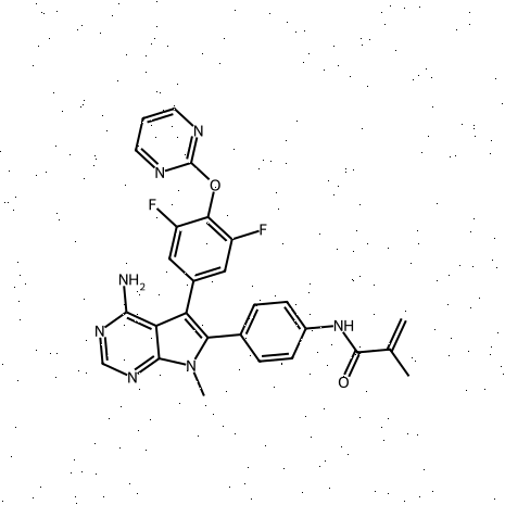 C=C(C)C(=O)Nc1ccc(-c2c(-c3cc(F)c(Oc4ncccn4)c(F)c3)c3c(N)ncnc3n2C)cc1